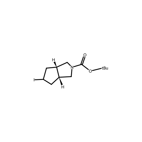 CC(C)(C)OC(=O)N1C[C@H]2CC(I)C[C@H]2C1